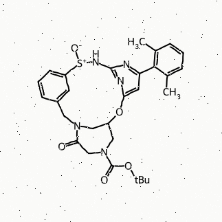 Cc1cccc(C)c1-c1cc2nc(n1)N[S+]([O-])c1cccc(c1)CN1CC(CN(C(=O)OC(C)(C)C)CC1=O)O2